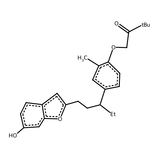 CCC(CCc1cc2ccc(O)cc2o1)c1ccc(OCC(=O)C(C)(C)C)c(C)c1